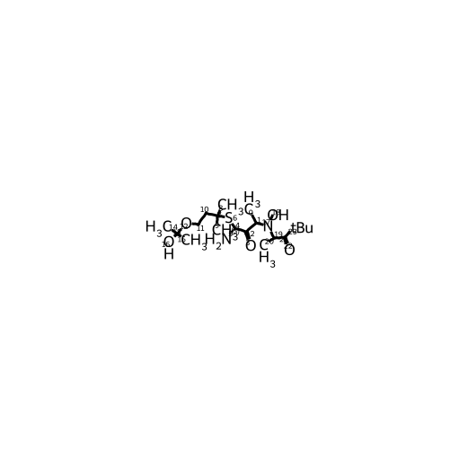 CC(C(=O)[C@@H](N)SC(C)(C)CCOC(C)(C)O)N(O)C(C)C(=O)C(C)(C)C